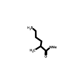 BCCCC(C)C(=O)NC